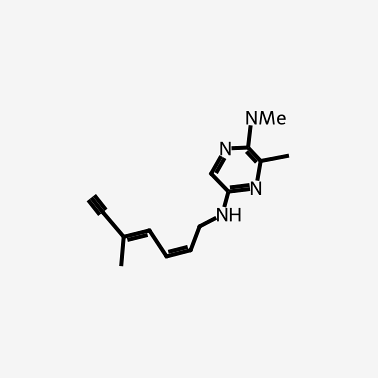 C#C/C(C)=C/C=C\CNc1cnc(NC)c(C)n1